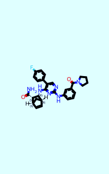 NC(=O)[C@@H]1[C@H](Nc2nc(Nc3cccc(C(=O)N4CCCC4)c3)ncc2-c2ccc(F)cc2)[C@H]2C=C[C@@H]1C2